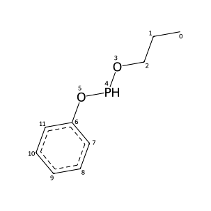 CCCOPOc1ccccc1